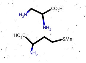 CSCCC(N)C(=O)O.NCC(N)C(=O)O